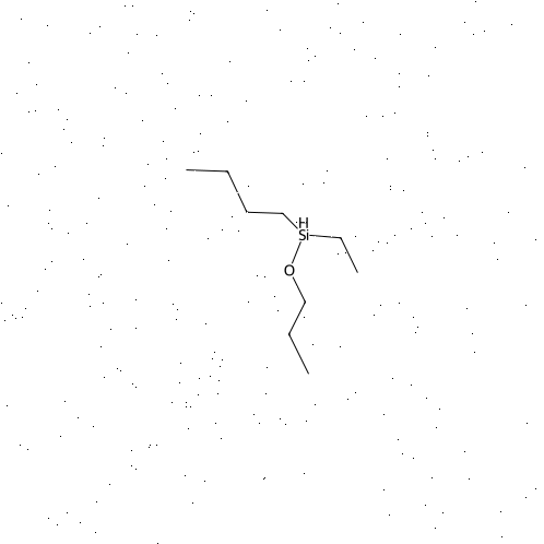 CCCC[SiH](CC)OCCC